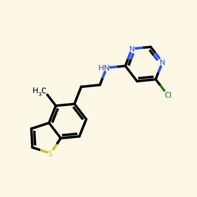 Cc1c(CCNc2cc(Cl)ncn2)ccc2sccc12